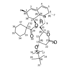 C[C@H]1C=C2C=C[C@H](C)[C@H](CC[C@@H]3C[C@@H](O[Si](C)(C)C(C)(C)C)CC(=O)O3)[C@H]2[C@@H](OC(=O)C2(C)CCCCC2)C1